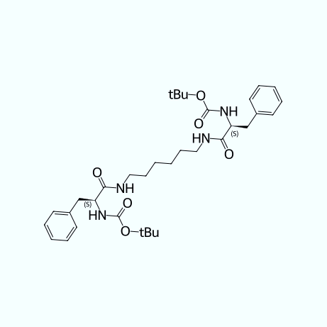 CC(C)(C)OC(=O)N[C@@H](Cc1ccccc1)C(=O)NCCCCCCNC(=O)[C@H](Cc1ccccc1)NC(=O)OC(C)(C)C